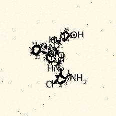 NCc1ccc(Cl)cc1CNC(=O)[C@@H]1CCCN1C(=O)[C@@H](CC(=O)N1CC[C@H](O)C1)NS(=O)(=O)Cc1ccccc1